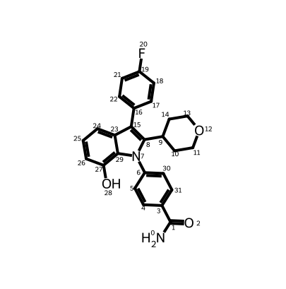 NC(=O)c1ccc(-n2c(C3CCOCC3)c(-c3ccc(F)cc3)c3cccc(O)c32)cc1